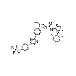 CCC(CNC(=O)/N=c1\scc(C)n1-c1c(C)cccc1C)c1ccc(-c2ncn(-c3ccc(OC(F)(F)F)cc3)n2)cc1